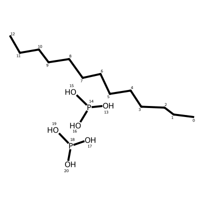 CCCCCCCCCCCCC.OP(O)O.OP(O)O